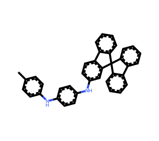 Cc1ccc(Nc2ccc(Nc3ccc4c(c3)C3(c5ccccc5-c5ccccc53)c3ccccc3-4)cc2)cc1